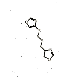 C1=NC(SSSSc2cocn2)CO1